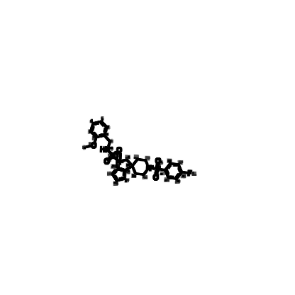 COc1ccccc1CNS(=O)(=O)NCC1(c2cccs2)CCN(S(=O)(=O)c2ccc(F)cc2)CC1